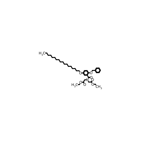 CCCCCCCCCCCCCCCCCCOc1ccc(OCc2ccccc2)c(C(=O)N(CC(=O)OCC)CC(=O)OCC)c1